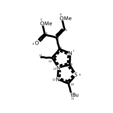 COC=C(C(=O)OC)c1nc2sc(C(C)(C)C)nn2c1C